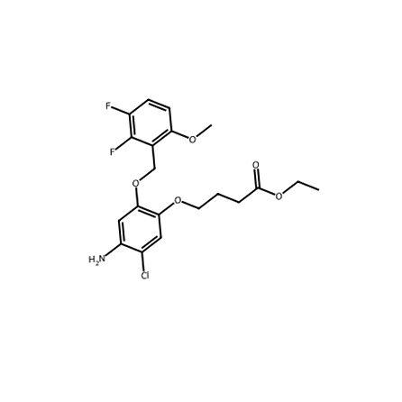 CCOC(=O)CCCOc1cc(Cl)c(N)cc1OCc1c(OC)ccc(F)c1F